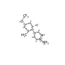 Cc1cc(OC(F)(F)F)ccc1-c1cc[n+](N)nc1.[I-]